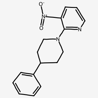 O=[N+]([O-])c1cccnc1N1CCC(c2ccccc2)CC1